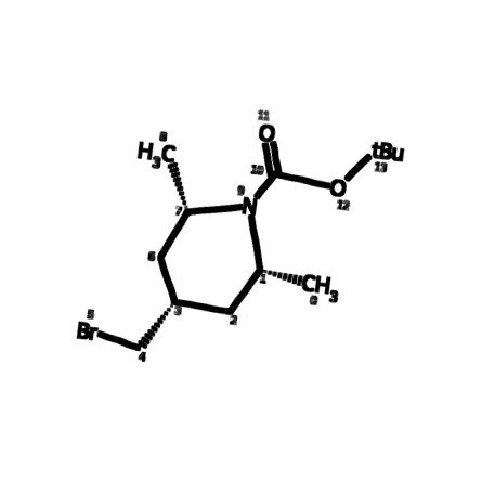 C[C@@H]1C[C@H](CBr)C[C@H](C)N1C(=O)OC(C)(C)C